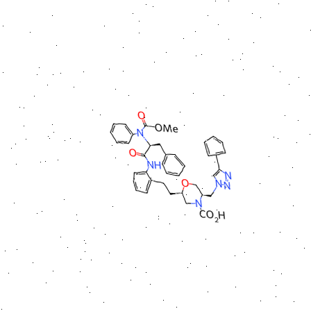 COC(=O)N(c1ccccc1)[C@@H](Cc1ccccc1)C(=O)Nc1ccccc1CC[C@@H]1CN(C(=O)O)[C@H](Cn2cc(-c3ccccc3)nn2)CO1